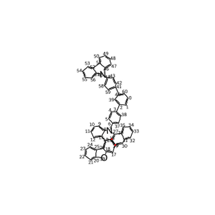 c1cc(-c2ccc(N(c3ccccc3-c3cccc4oc5ccccc5c34)c3cccc4ccccc34)cc2)cc(-c2ccc(-n3c4ccccc4c4ccccc43)cc2)c1